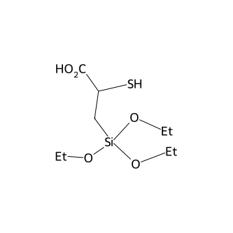 CCO[Si](CC(S)C(=O)O)(OCC)OCC